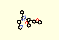 c1ccc(-c2cc(-c3cccc(-c4ccccn4)c3)nc(-c3ccc(-c4ccc5c(c4)oc4ccccc45)c4c3oc3ccccc34)n2)cc1